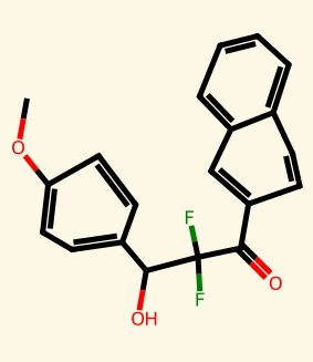 COc1ccc(C(O)C(F)(F)C(=O)c2ccc3ccccc3c2)cc1